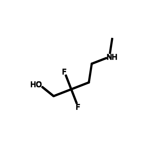 CNCCC(F)(F)CO